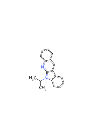 CC(C)n1c2ccccc2c2cc3ccccc3nc21